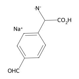 [N-]C(C(=O)O)c1ccc(C=O)cc1.[Na+]